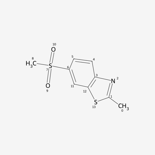 Cc1nc2ccc(S(C)(=O)=O)cc2s1